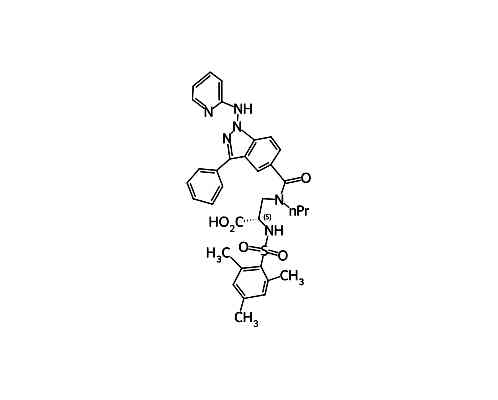 CCCN(C[C@H](NS(=O)(=O)c1c(C)cc(C)cc1C)C(=O)O)C(=O)c1ccc2c(c1)c(-c1ccccc1)nn2Nc1ccccn1